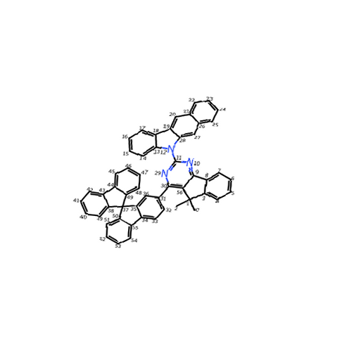 CC1(C)c2ccccc2-c2nc(-n3c4ccccc4c4cc5ccccc5cc43)nc(-c3ccc4c(c3)C3(c5ccccc5-c5ccccc53)c3ccccc3-4)c21